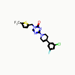 O=c1nc(N2CC=C(c3cc(F)cc(Cl)c3)CC2)ncn1Cc1ccc(C(F)(F)F)s1